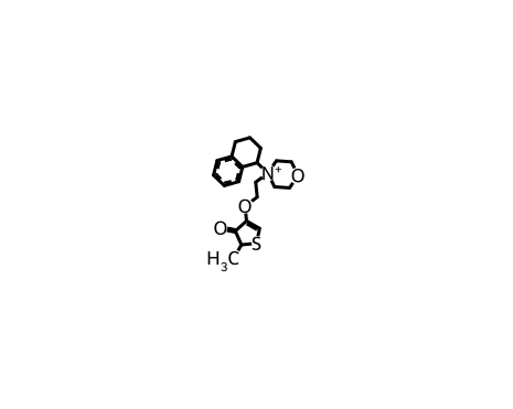 CC1SC=C(OCC[N+]2(C3CCCc4ccccc43)CCOCC2)C1=O